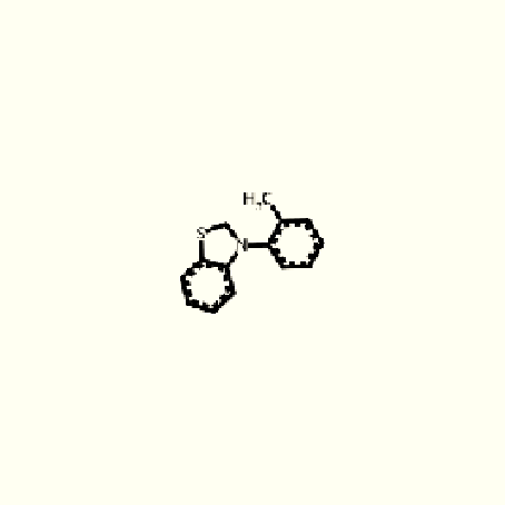 Cc1ccccc1N1CSc2ccccc21